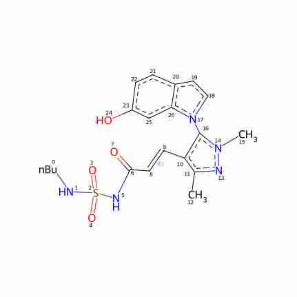 CCCCNS(=O)(=O)NC(=O)/C=C/c1c(C)nn(C)c1-n1ccc2ccc(O)cc21